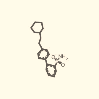 NS(=O)(=O)c1ccccc1-c1ccc(CCC2CCCCC2)cc1